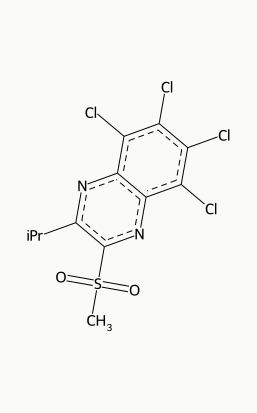 CC(C)c1nc2c(Cl)c(Cl)c(Cl)c(Cl)c2nc1S(C)(=O)=O